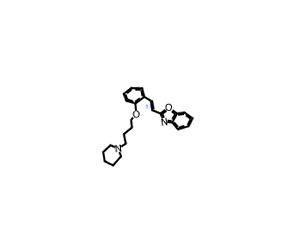 C(=C\c1ccccc1OCCCCN1CCCCC1)/c1nc2ccccc2o1